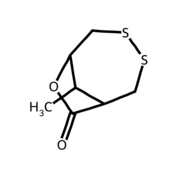 CC1C2CSSCC1C(=O)O2